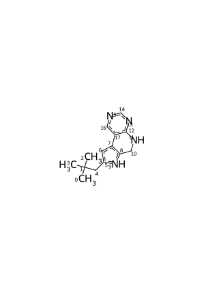 CC(C)(C)Cc1cc2c([nH]1)CNc1ncncc1-2